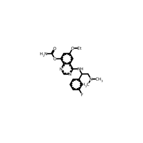 CCOc1cc(OC(N)=O)c2ncnc(NC(CN(C)C)c3cccc(F)c3)c2c1